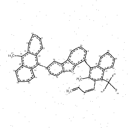 C=C/C=C\c1c(C)c(-c2cccc3c2oc2ccc(-c4c5ccccc5c(C)c5ccccc45)cc23)c2ccccc2c1C(F)(F)F